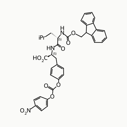 CC(C)C[C@H](NC(=O)OCC1c2ccccc2-c2ccccc21)C(=O)N[C@@H](Cc1ccc(OC(=O)Oc2ccc([N+](=O)[O-])cc2)cc1)C(=O)O